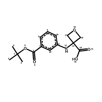 CC(C)(C)OC(=O)c1cccc(NC2(C(=O)O)COC2)c1